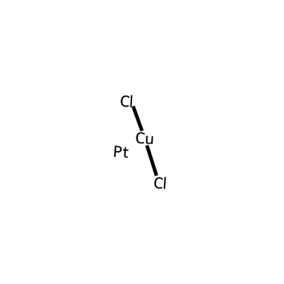 [Cl][Cu][Cl].[Pt]